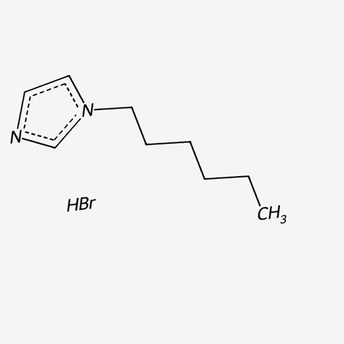 Br.CCCCCCn1ccnc1